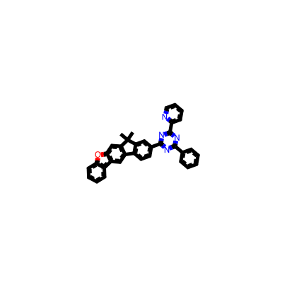 CC1(C)c2cc(-c3nc(-c4ccccc4)nc(-c4ccccn4)n3)ccc2-c2cc3c(cc21)oc1ccccc13